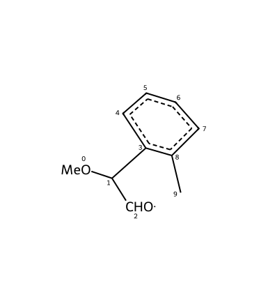 COC([C]=O)c1ccccc1C